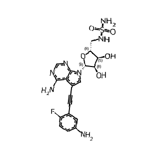 Nc1ccc(F)c(C#Cc2cn([C@@H]3O[C@H](CNS(N)(=O)=O)[C@@H](O)[C@H]3O)c3ncnc(N)c23)c1